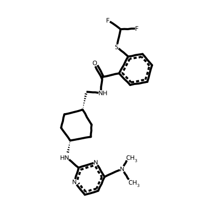 CN(C)c1ccnc(N[C@H]2CC[C@@H](CNC(=O)c3ccccc3SC(F)F)CC2)n1